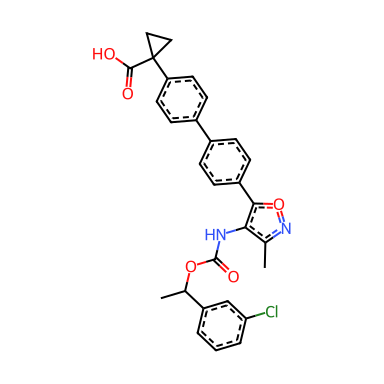 Cc1noc(-c2ccc(-c3ccc(C4(C(=O)O)CC4)cc3)cc2)c1NC(=O)OC(C)c1cccc(Cl)c1